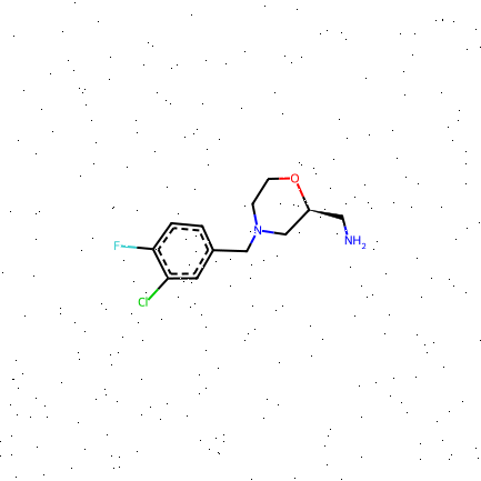 NC[C@H]1CN(Cc2ccc(F)c(Cl)c2)CCO1